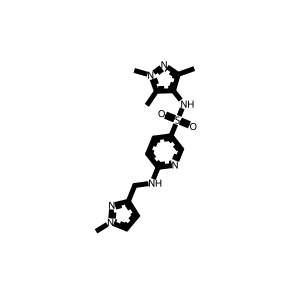 Cc1nn(C)c(C)c1NS(=O)(=O)c1ccc(NCc2ccn(C)n2)nc1